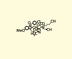 C#CCCCC(=O)OCc1cnc(C)c(OC(=O)Cc2c(C)n(C(=O)c3ccc(Cl)cc3)c3ccc(OC)cc23)c1COC(=O)CCCC#C